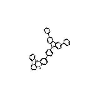 c1ccc(-c2ccc3c(c2)c2cc(-c4ccccc4)ccc2n3-c2ccc(-c3ccc4c(c3)-n3c5ccccc5c5cccc(c53)S4)cc2)cc1